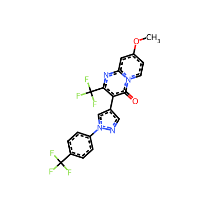 COc1ccn2c(=O)c(-c3cnn(-c4ccc(C(F)(F)F)cc4)c3)c(C(F)(F)F)nc2c1